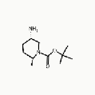 C[C@H]1CC[C@H](N)CN1C(=O)OC(C)(C)C